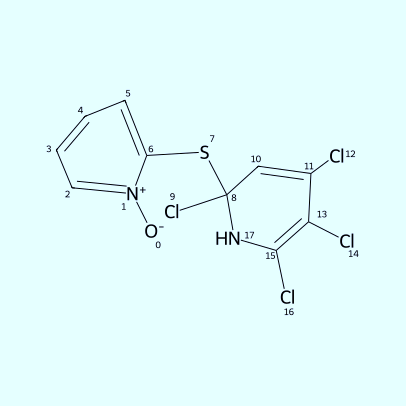 [O-][n+]1ccccc1SC1(Cl)C=C(Cl)C(Cl)=C(Cl)N1